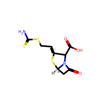 NC(=S)SC/C=C1\S[C@@H]2CC(=O)N2C1C(=O)O